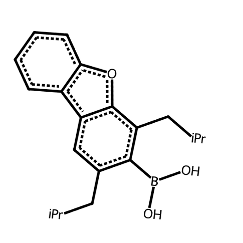 CC(C)Cc1cc2c(oc3ccccc32)c(CC(C)C)c1B(O)O